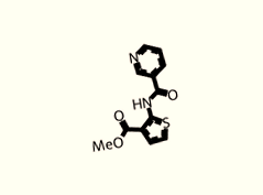 COC(=O)c1ccsc1NC(=O)c1cccnc1